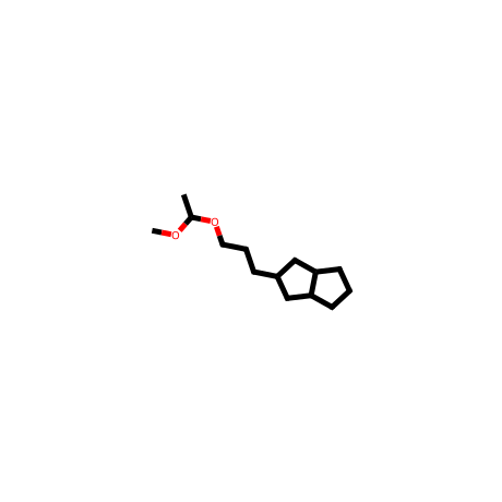 COC(C)OCCCC1CC2CCCC2C1